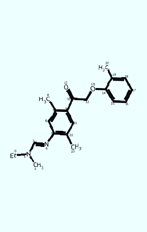 CCN(C)C=Nc1cc(C)c(C(=O)COc2ccccc2C)cc1C